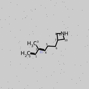 C=C/C(C)=C/CCC1CNC1